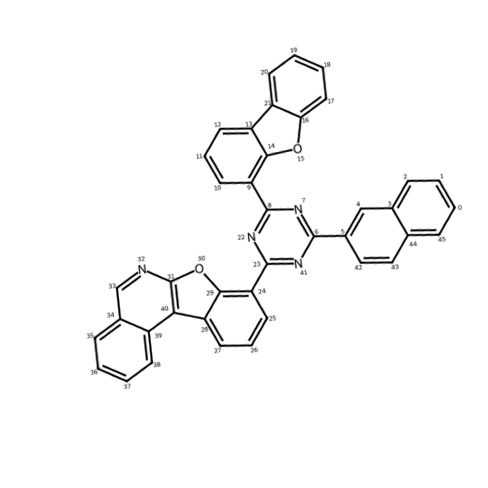 c1ccc2cc(-c3nc(-c4cccc5c4oc4ccccc45)nc(-c4cccc5c4oc4ncc6ccccc6c45)n3)ccc2c1